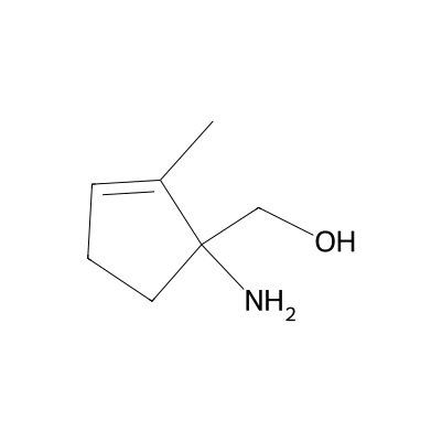 CC1=CCCC1(N)CO